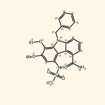 CCOc1c(OC)cc(NS(C)(=O)=O)c2c3c(C(N)=O)cccc3n(Cc3ccccc3)c12